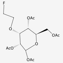 CC(=O)OC[C@H]1OC(OC(C)=O)[C@H](OC(C)=O)[C@H](OCCF)[C@@H]1OC(C)=O